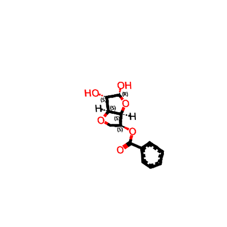 O=C(O[C@H]1CO[C@H]2[C@H](O)[C@H](O)O[C@H]21)c1ccccc1